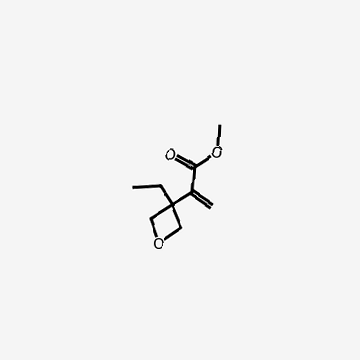 C=C(C(=O)OC)C1(CC)COC1